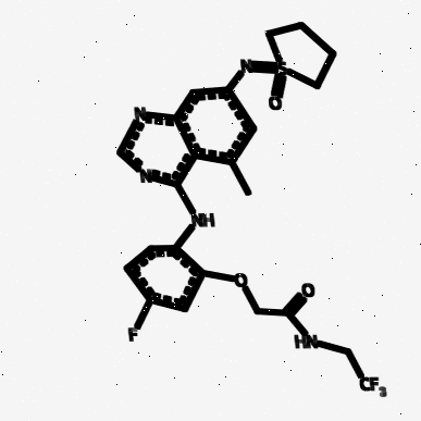 Cc1cc(N=S2(=O)CCCC2)cc2ncnc(Nc3ccc(F)cc3OCC(=O)NCC(F)(F)F)c12